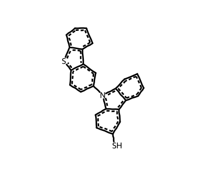 Sc1ccc2c(c1)c1ccccc1n2-c1ccc2sc3ccccc3c2c1